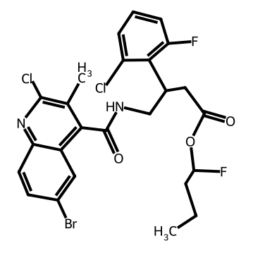 CCCC(F)OC(=O)CC(CNC(=O)c1c(C)c(Cl)nc2ccc(Br)cc12)c1c(F)cccc1Cl